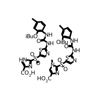 Cc1ccc(NC(=O)Nc2ncc(S(=O)(=O)c3nc(C(=O)O)c[nH]3)s2)c(OCC(C)C)c1.Cc1ccc(NC(=O)Nc2ncc(S(=O)(=O)c3nc(C(=O)O)cn3C)s2)c(OCC(C)C)c1